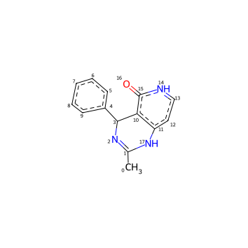 CC1=NC(c2ccccc2)c2c(cc[nH]c2=O)N1